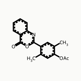 CC(=O)Oc1cc(C)c(-c2nc3ccccc3c(=O)o2)cc1C